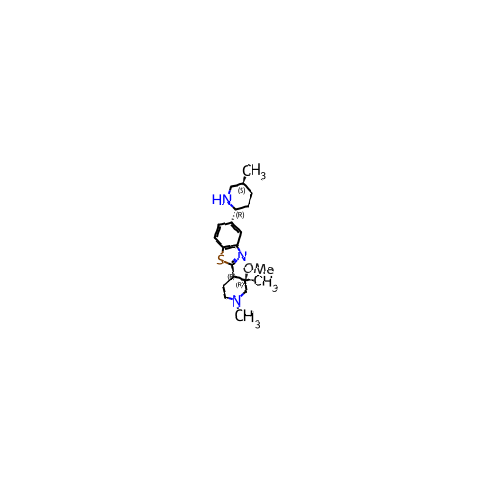 CO[C@@]1(C)CN(C)CC[C@H]1c1nc2cc([C@H]3CC[C@H](C)CN3)ccc2s1